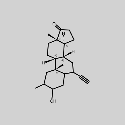 C#CC1C[C@@H]2[C@@H](CC[C@]3(C)C(=O)CC[C@@H]23)[C@@]2(C)CC(C)C(O)CC12